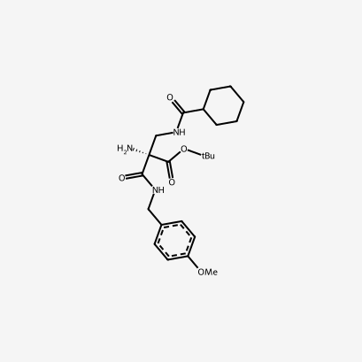 COc1ccc(CNC(=O)[C@@](N)(CNC(=O)C2CCCCC2)C(=O)OC(C)(C)C)cc1